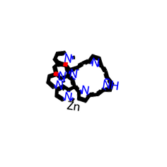 CN1C=CC=CC1c1c(C2C=CC=CN2C)c2c(C3C=CC=CN3C)c3nc(cc4ccc(cc5nc(cc1n2C1C=CC=CN1C)C=C5)[nH]4)C=C3.[Zn]